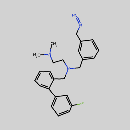 CN(C)CCN(Cc1cccc(CN=N)c1)Cc1ccccc1-c1cccc(F)c1